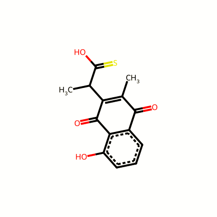 CC1=C(C(C)C(O)=S)C(=O)c2c(O)cccc2C1=O